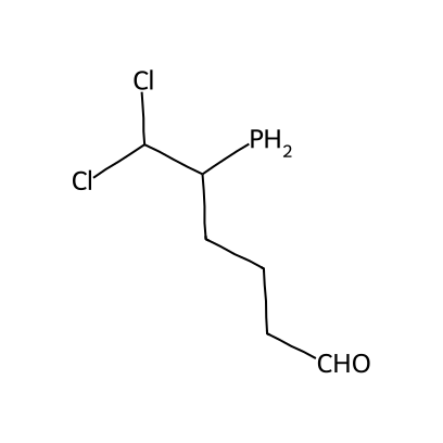 O=CCCCC(P)C(Cl)Cl